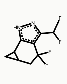 FC(F)c1n[nH]c2c1C(F)(F)CC1CC21